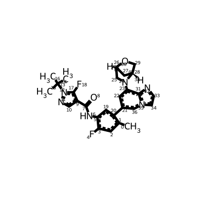 Cc1cc(F)c(NC(=O)c2cnn(C(C)(C)C)c2F)cc1-c1cc(N2C[C@H]3C[C@@H]2CO3)c2nccn2c1